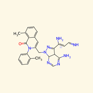 Cc1ccccc1-n1c(CN2N=C(/C(N)=C/C=N)C3C(N)=NC=NC32)cc2cccc(C)c2c1=O